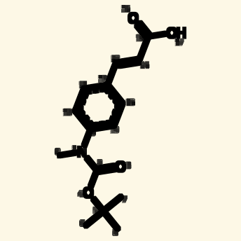 CN(C(=O)OC(C)(C)C)c1ccc(C=CC(=O)O)cc1